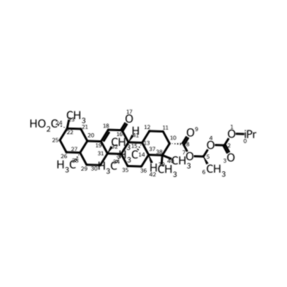 CC(C)OC(=O)O[C@@H](C)OC(=O)[C@H]1CC[C@]2(C)[C@H]3C(=O)C=C4C5C[C@@](C)(C(=O)O)CC[C@]5(C)CC[C@@]4(C)[C@]3(C)CC[C@H]2C1(C)C